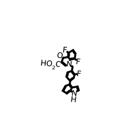 O=C(O)c1cn(Cc2ccc(-c3cccc4[nH]ccc34)cc2F)c2c(F)ccc(F)c2c1=O